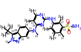 [2H]c1nc(Nc2c([2H])c([2H])c(C)c(S(N)(=O)=O)c2[2H])nc(N(C)c2ccc3c(C([2H])([2H])[2H])n(C)nc3c2)c1[2H]